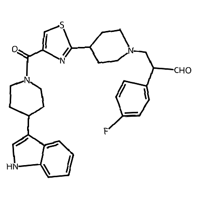 O=CC(CN1CCC(c2nc(C(=O)N3CCC(c4c[nH]c5ccccc45)CC3)cs2)CC1)c1ccc(F)cc1